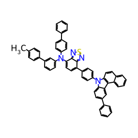 Cc1ccc(-c2cccc(N(c3ccc(-c4ccccc4)cc3)c3ccc(-c4ccc(-n5c6ccc(-c7ccccc7)cc6c6c7ccccc7ccc65)cc4)c4nsnc34)c2)cc1